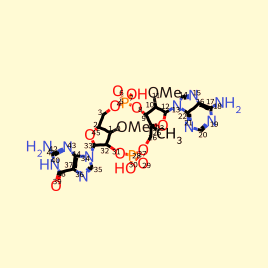 COC1C2COP(=O)(O)OC3C(OC)C(n4cnc5c(N)ncnc54)OC3(C)COP(=O)(O)OC1C(n1cnc3c(=O)[nH]c(N)nc31)O2